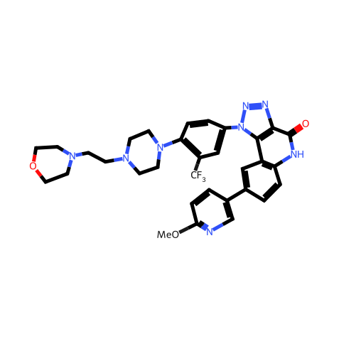 COc1ccc(-c2ccc3[nH]c(=O)c4nnn(-c5ccc(N6CCN(CCN7CCOCC7)CC6)c(C(F)(F)F)c5)c4c3c2)cn1